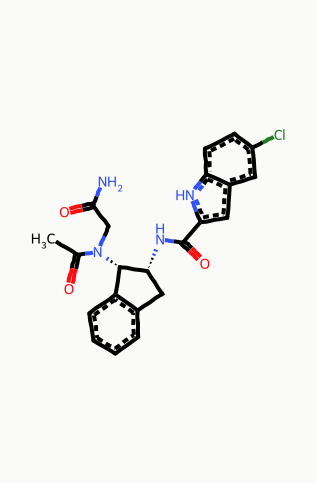 CC(=O)N(CC(N)=O)[C@H]1c2ccccc2C[C@H]1NC(=O)c1cc2cc(Cl)ccc2[nH]1